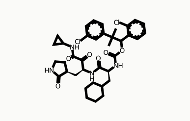 CC(C)(c1cccc(Cl)c1)C(OC(=O)N[C@@H](CC1CCCCC1)C(=O)N[C@@H](C[C@@H]1CCNC1=O)C(=O)C(=O)NC1CC1)c1ccccc1Cl